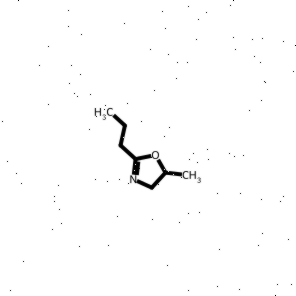 CCCC1=NCC(C)O1